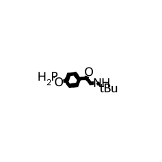 CC(C)(C)NCC(=O)c1ccc(OP)cc1